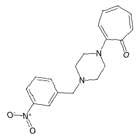 O=c1cccccc1N1CCN(Cc2cccc([N+](=O)[O-])c2)CC1